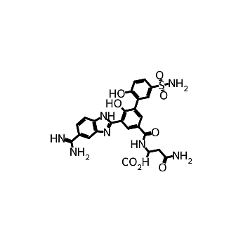 N=C(N)c1ccc2[nH]c(-c3cc(C(=O)NC(CC(N)=O)C(=O)O)cc(-c4cc(S(N)(=O)=O)ccc4O)c3O)nc2c1